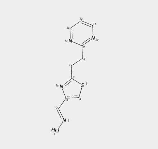 O/N=C/c1csc(CCc2ncccn2)n1